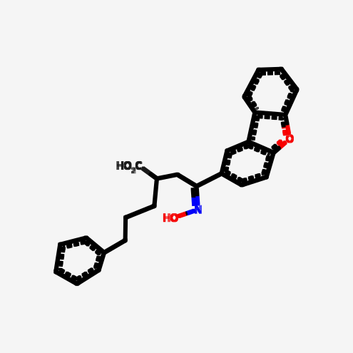 O=C(O)C(CCCc1ccccc1)CC(=NO)c1ccc2oc3ccccc3c2c1